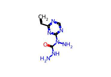 C=Cc1ncnc(N(N)C(=O)NN)n1